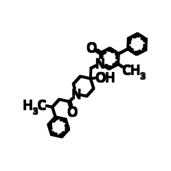 Cc1cn(CC2(O)CCN(C(=O)CC(C)c3ccccc3)CC2)c(=O)cc1-c1ccccc1